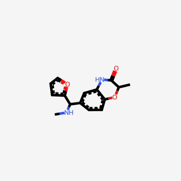 CNC(c1ccc2c(c1)NC(=O)C(C)O2)c1ccco1